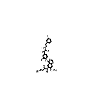 COc1cc2ncnc(Oc3ccc(NC(=O)NCCc4cccc(F)c4)cc3F)c2cc1NC(=O)CCC(C)C